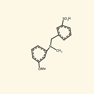 COc1cccc(N(C)Cc2cccc(S(=O)(=O)O)c2)c1